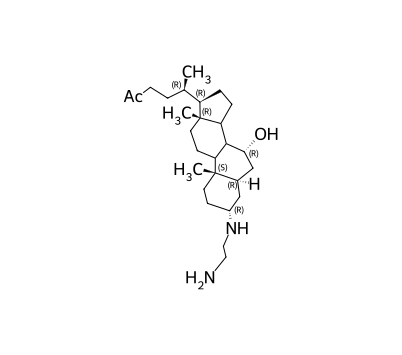 CC(=O)CC[C@@H](C)[C@H]1CCC2C3C(CC[C@@]21C)[C@@]1(C)CC[C@@H](NCCN)C[C@@H]1C[C@H]3O